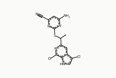 CC(Sc1nc(N)cc(C#N)n1)c1cc2c(Cl)c[nH]c2c(Cl)n1